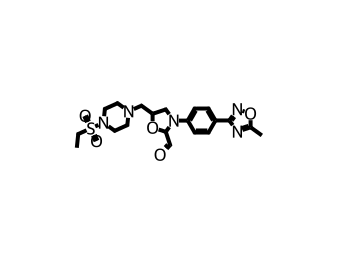 CCS(=O)(=O)N1CCN(CC2CN(c3ccc(-c4noc(C)n4)cc3)C(C=O)O2)CC1